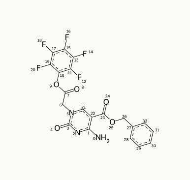 Nc1nc(=O)n(CC(=O)Oc2c(F)c(F)c(F)c(F)c2F)cc1C(=O)OCc1ccccc1